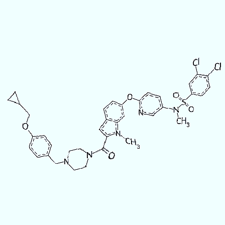 CN(c1ccc(Oc2ccc3cc(C(=O)N4CCN(Cc5ccc(OCC6CC6)cc5)CC4)n(C)c3c2)nc1)S(=O)(=O)c1ccc(Cl)c(Cl)c1